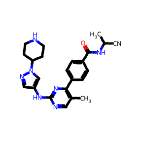 Cc1cnc(Nc2cnn(C3CCNCC3)c2)nc1-c1ccc(C(=O)NC(C)C#N)cc1